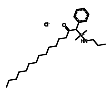 CCCCCCCCCCCCCC(=O)C(c1ccccc1)[N+](C)(C)NCCC.[Cl-]